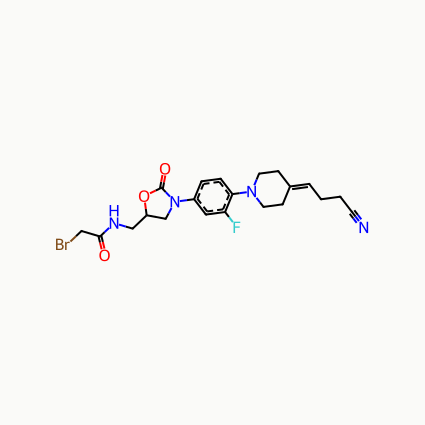 N#CCCC=C1CCN(c2ccc(N3CC(CNC(=O)CBr)OC3=O)cc2F)CC1